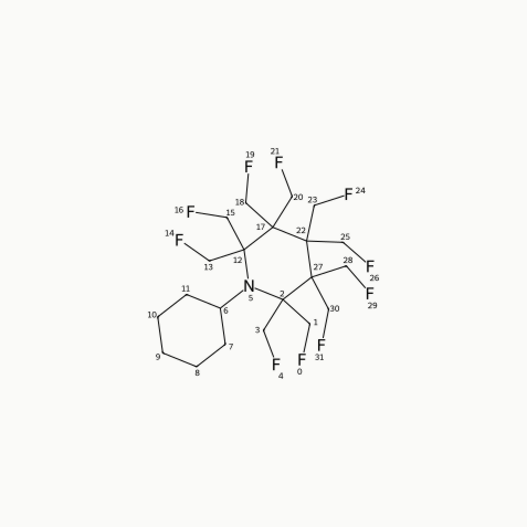 FCC1(CF)N(C2CCCCC2)C(CF)(CF)C(CF)(CF)C(CF)(CF)C1(CF)CF